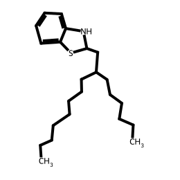 CCCCCCCCC(CCCCCC)CC1Nc2ccccc2S1